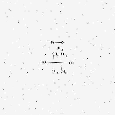 B.CC(C)(O)C(C)(C)O.CC(C)[O]